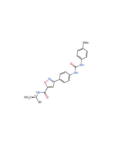 CSc1ccc(NC(=O)Nc2ccc(-c3cc(C(=O)N[C@H](C(=O)O)C(C)C)on3)cc2)cc1